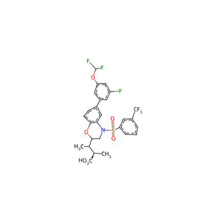 CC(C1CN(S(=O)(=O)c2cccc(C(F)(F)F)c2)c2cc(-c3cc(F)cc(OC(F)F)c3)ccc2O1)[C@@H](C)C(=O)O